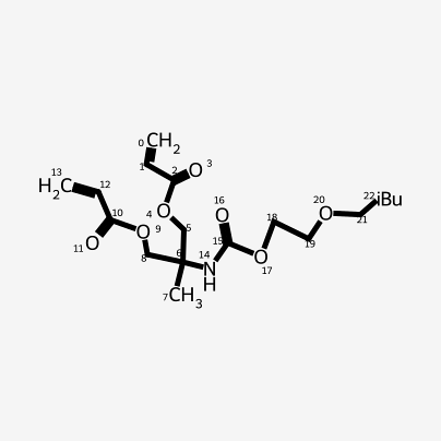 C=CC(=O)OCC(C)(COC(=O)C=C)NC(=O)OCCOCC(C)CC